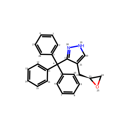 c1ccc(C(c2ccccc2)(c2ccccc2)c2n[nH]cc2C[C@H]2CO2)cc1